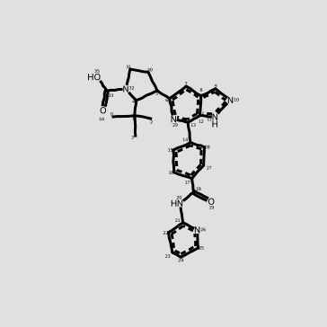 CC(C)(C)C1C(c2cc3cn[nH]c3c(-c3ccc(C(=O)Nc4ccccn4)cc3)n2)CCN1C(=O)O